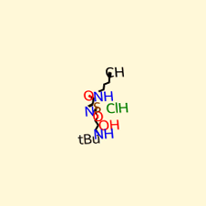 C#CCCCCNC(=O)c1cnc(OCC(O)CNC(C)(C)C)s1.Cl